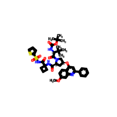 COc1ccc2c(O[C@@H]3C[C@@H](C(=O)NC4(C(=O)NS(=O)(=O)c5cccs5)CCC4)N(C(=O)[C@@H](NC(=O)OC(C)(C)C)C(C)(C)C)C3)cc(-c3ccccc3)nc2c1